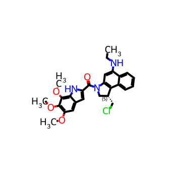 CCNc1cc2c(c3ccccc13)[C@H](CCl)CN2C(=O)c1cc2cc(OC)c(OC)c(OC)c2[nH]1